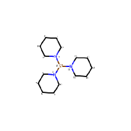 C1CCN([S+](N2CCCCC2)N2CCCCC2)CC1